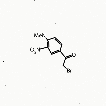 CNc1ccc(C(=O)CBr)cc1[N+](=O)[O-]